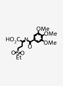 CCS(=O)(=O)CCC(=NC(=O)c1cc(OC)c(OC)c(OC)c1)C(=O)O